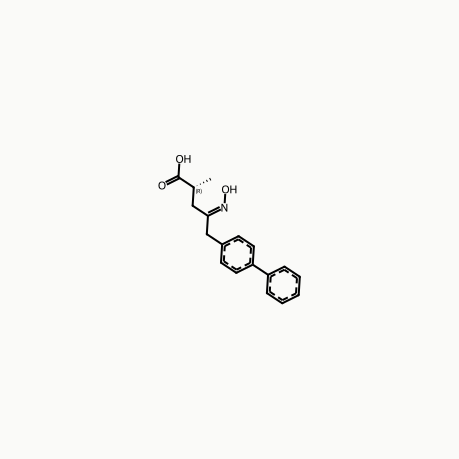 C[C@H](CC(Cc1ccc(-c2ccccc2)cc1)=NO)C(=O)O